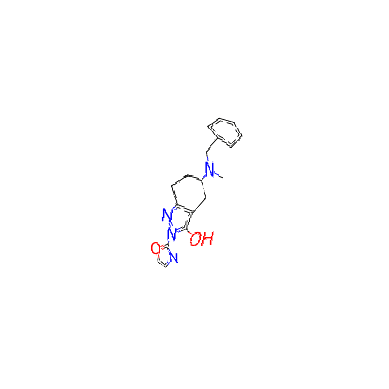 CN(Cc1ccccc1)C1CCc2nn(-c3ncco3)c(O)c2C1